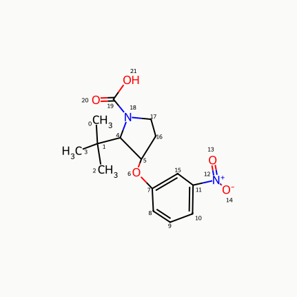 CC(C)(C)C1C(Oc2cccc([N+](=O)[O-])c2)CCN1C(=O)O